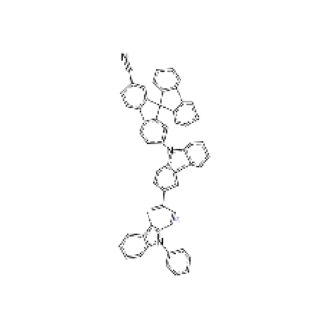 C=C(/C=C\c1c(C)c2ccccc2n1-c1ccccc1)c1ccc2c(c1)c1ccccc1n2-c1ccc2c(c1)C1(c3ccccc3-c3ccccc31)c1cc(C#N)ccc1-2